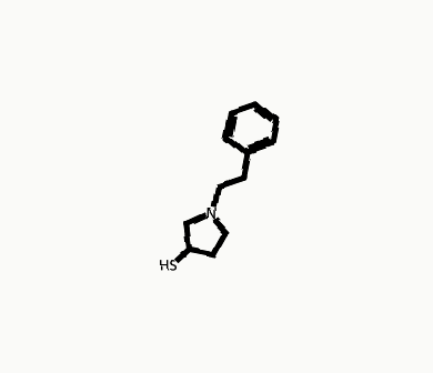 SC1CCN(CCc2ccccc2)C1